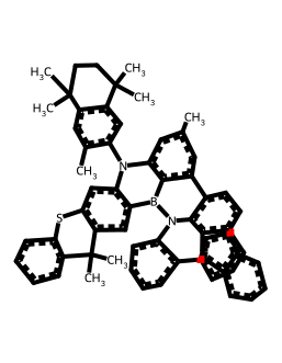 Cc1cc2c3c(c1)N(c1cc4c(cc1C)C(C)(C)CCC4(C)C)c1cc4c(cc1B3N(c1ccccc1-c1ccccc1)c1c-2ccc2c1sc1ccccc12)C(C)(C)c1ccccc1S4